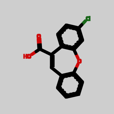 O=C(O)C1=Cc2ccccc2Oc2cc(Cl)ccc21